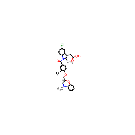 Cc1cc(C(=O)n2c(C)c(CC(=O)O)c3cc(Cl)ccc32)ccc1OC[C@@H]1CN(C)c2ccccc2O1